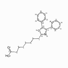 O=C(O)CCCCCCCc1nc(-c2ccccc2)c(-c2ccccc2)o1